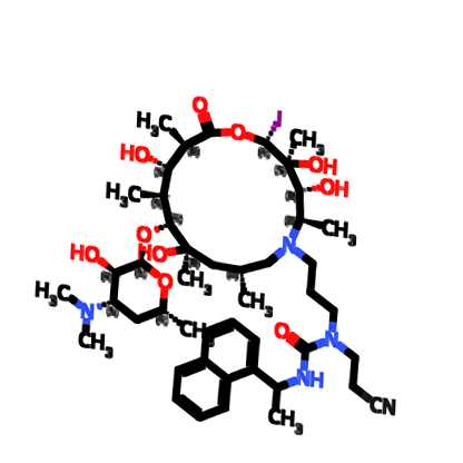 CC(NC(=O)N(CCC#N)CCCN1C[C@H](C)C[C@@](C)(O)[C@H](O[C@@H]2O[C@H](C)C[C@H](N(C)C)[C@H]2O)[C@@H](C)[C@H](O)[C@@H](C)C(=O)O[C@H](I)[C@@](C)(O)[C@H](O)[C@H]1C)c1cccc2ccccc12